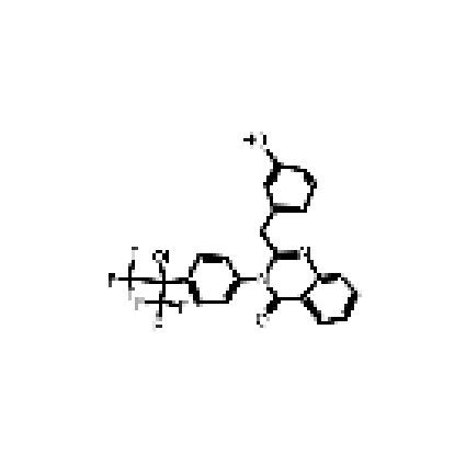 O=c1c2ccccc2nc(Cc2cccc(O)c2)n1-c1ccc(C(O)(C(F)(F)F)C(F)(F)F)cc1